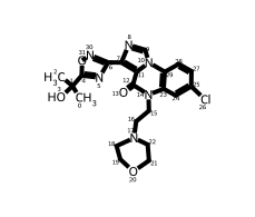 CC(C)(O)c1nc(-c2ncn3c2c(=O)n(CCN2CCOCC2)c2cc(Cl)ccc23)no1